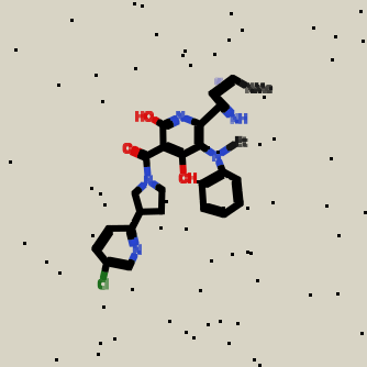 CCN(c1ccccc1)c1c(C(=N)/C=C\NC)nc(O)c(C(=O)N2CCC(c3ccc(Cl)cn3)C2)c1O